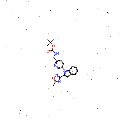 Cc1nc(-c2cc3ccccc3n2-c2ccc(CNC(=O)OC(C)(C)C)nc2)no1